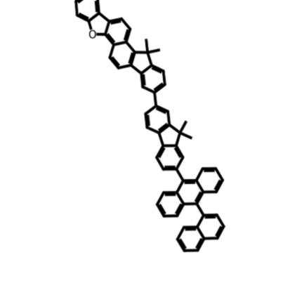 CC1(C)c2cc(-c3ccc4c(c3)-c3ccc5c(ccc6c7ccccc7oc56)c3C4(C)C)ccc2-c2ccc(-c3c4ccccc4c(-c4cccc5ccccc45)c4ccccc34)cc21